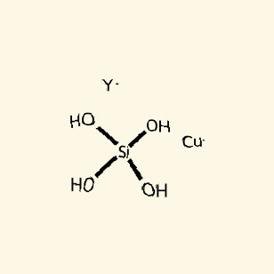 O[Si](O)(O)O.[Cu].[Y]